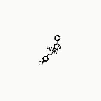 Clc1ccc(CCc2nc3ncc(-c4ccccc4)cc3[nH]2)cc1